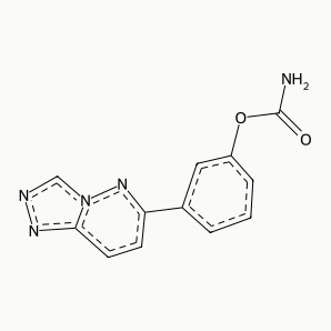 NC(=O)Oc1cccc(-c2ccc3nncn3n2)c1